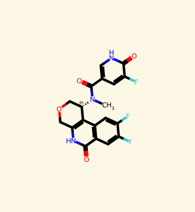 CN(C(=O)c1c[nH]c(=O)c(F)c1)[C@H]1COCc2[nH]c(=O)c3cc(F)c(F)cc3c21